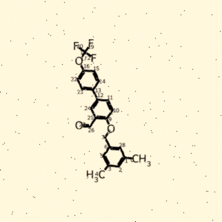 Cc1cc(C)cc(COc2ccc(-c3ccc(OC(F)(F)F)cc3)cc2C=O)c1